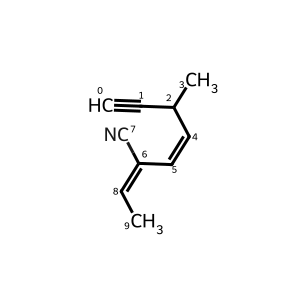 C#CC(C)/C=C\C(C#N)=C/C